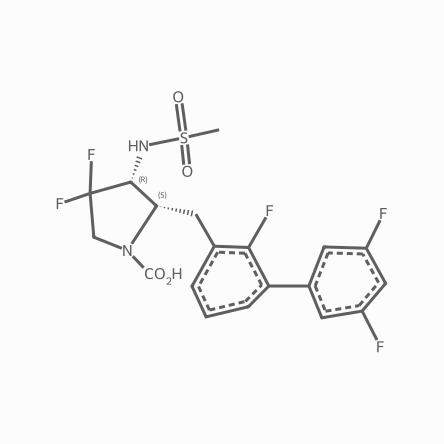 CS(=O)(=O)N[C@@H]1[C@H](Cc2cccc(-c3cc(F)cc(F)c3)c2F)N(C(=O)O)CC1(F)F